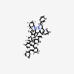 c1ccc(-c2cc(-c3ccccc3)nc(-n3c4ccccc4c4cc5c(cc43)C3(c4ccccc4-c4ccc(-c6c7ccccc7c(-c7ccccc7)c7ccccc67)cc43)c3ccccc3-5)n2)cc1